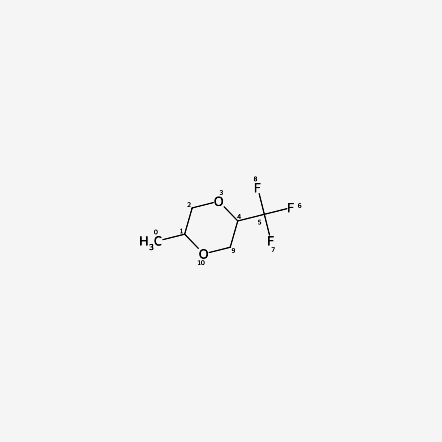 CC1COC(C(F)(F)F)CO1